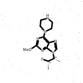 COc1nc(N2CCNCC2)c2ncn([C@H](C)[C@H](C)F)c2n1